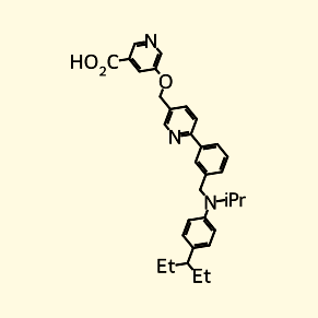 CCC(CC)c1ccc(N(Cc2cccc(-c3ccc(COc4cncc(C(=O)O)c4)cn3)c2)C(C)C)cc1